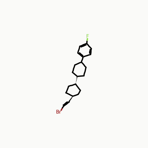 Fc1ccc(C2CCC([C@H]3CC[C@H](/C=C/Br)CC3)CC2)cc1